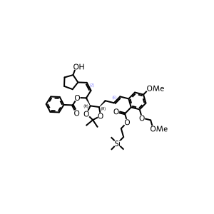 COCOc1cc(OC)cc(/C=C/C[C@H]2OC(C)(C)O[C@H]2C(/C=C\C2CCCC2O)OC(=O)c2ccccc2)c1C(=O)OCC[Si](C)(C)C